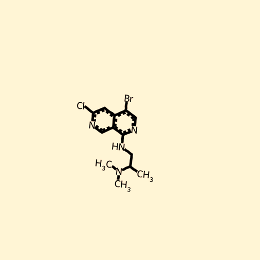 CC(CNc1ncc(Br)c2cc(Cl)ncc12)N(C)C